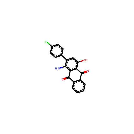 Nc1c(-c2ccc(Cl)cc2)cc(O)c2c1C(=O)c1ccccc1C2=O